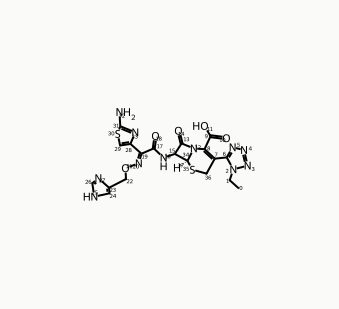 CCn1nnnc1C1=C(C(=O)O)N2C(=O)C(NC(=O)C(=NOCc3c[nH]cn3)c3csc(N)n3)[C@@H]2SC1